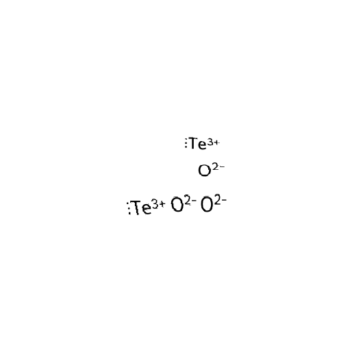 [O-2].[O-2].[O-2].[Te+3].[Te+3]